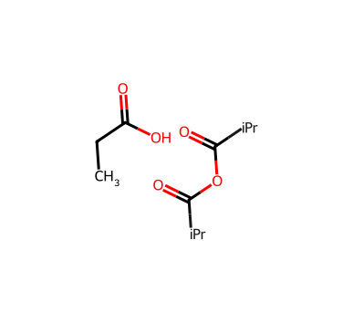 CC(C)C(=O)OC(=O)C(C)C.CCC(=O)O